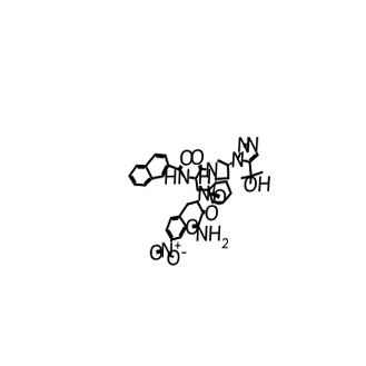 CC(C)(O)c1cnnn1[C@H]1C[C@@H](C(=O)NC(Cc2ccc([N+](=O)[O-])cc2)C(=O)C(N)=O)N(C(=O)C(CC2CCCCC2)NC(=O)c2ccc3ccccc3c2)C1